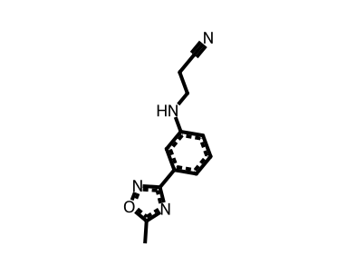 Cc1nc(-c2cccc(NCCC#N)c2)no1